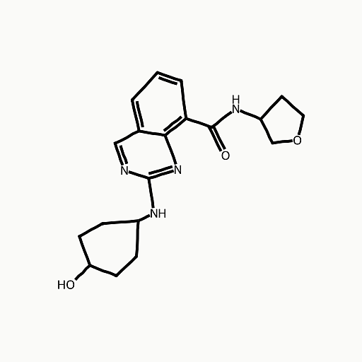 O=C(NC1CCOC1)c1cccc2cnc(NC3CCC(O)CC3)nc12